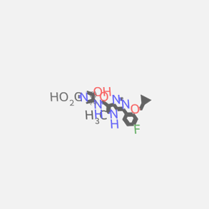 Cc1[nH]c2c(-c3ccc(F)cc3OCC3CC3)ncnc2c1C(=O)N[C@@H]1CN(C(=O)O)C[C@H]1O